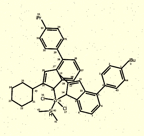 CCC(C)c1ccc(-c2cccc3c2C=C(C)[CH]3[Zr]([Cl])([Cl])([CH]2C(C3CCCCC3)=Cc3c(-c4ccc(C(C)C)cc4)cccc32)[SiH](C)C)cc1